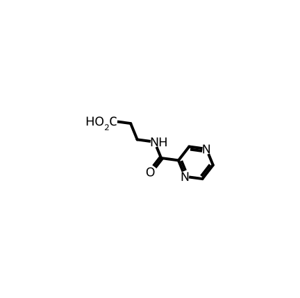 O=C(O)CCNC(=O)c1cnccn1